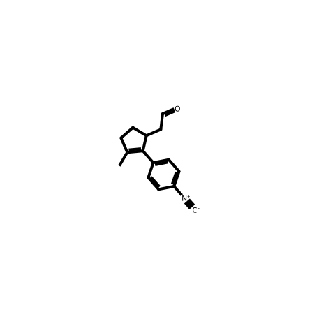 [C-]#[N+]c1ccc(C2=C(C)CCC2CC=O)cc1